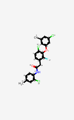 [C-]#[N+]c1cc(Cl)cc(Oc2c(Cl)ccc(CC(=O)Nc3ccc(C)cc3Cl)c2F)c1